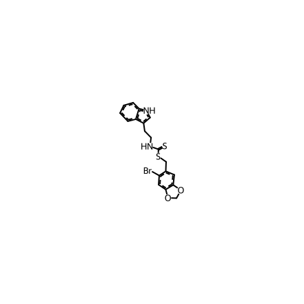 S=C(NCCc1c[nH]c2ccccc12)SCc1cc2c(cc1Br)OCO2